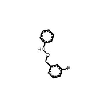 Fc1cccc(CONc2ccccc2)c1